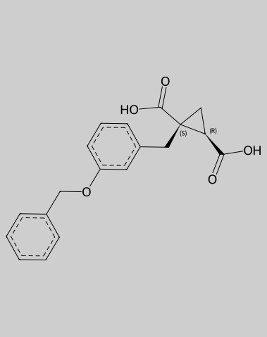 O=C(O)[C@@H]1C[C@@]1(Cc1cccc(OCc2ccccc2)c1)C(=O)O